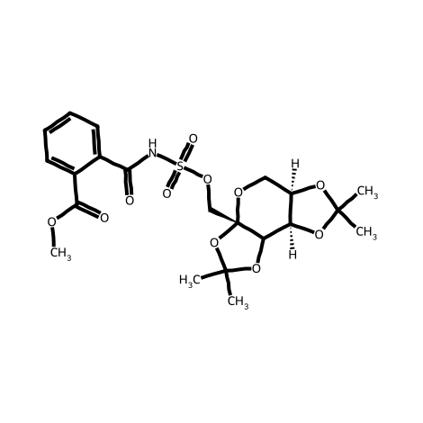 COC(=O)c1ccccc1C(=O)NS(=O)(=O)OC[C@@]12OC[C@H]3OC(C)(C)O[C@H]3C1OC(C)(C)O2